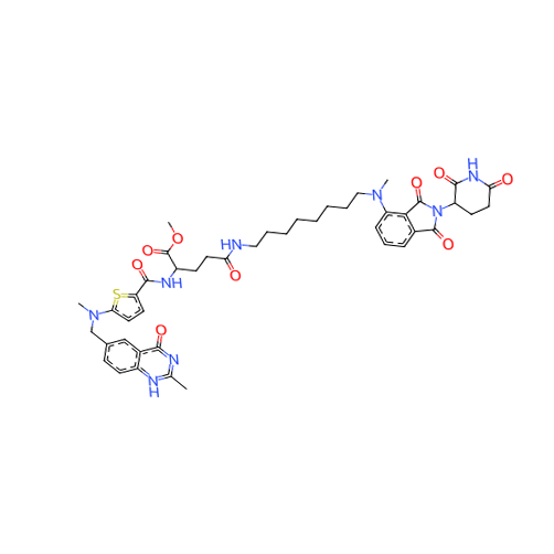 COC(=O)C(CCC(=O)NCCCCCCCCN(C)c1cccc2c1C(=O)N(C1CCC(=O)NC1=O)C2=O)NC(=O)c1ccc(N(C)Cc2ccc3[nH]c(C)nc(=O)c3c2)s1